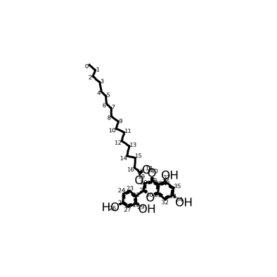 CCCCCCCCCCCCCCCCCC(=O)Oc1c(-c2ccc(O)cc2O)oc2cc(O)cc(O)c2c1=O